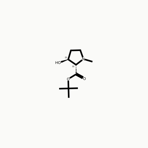 CN1CC[C@H](O)[C@H]1C(=O)OC(C)(C)C